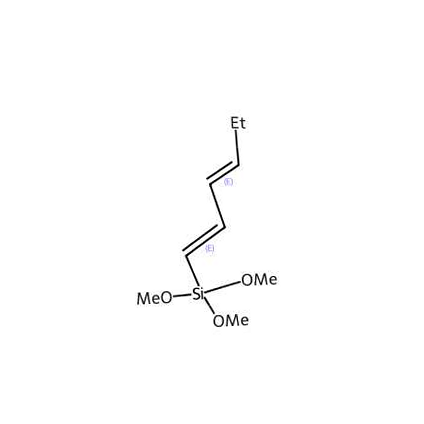 CC/C=C/C=C/[Si](OC)(OC)OC